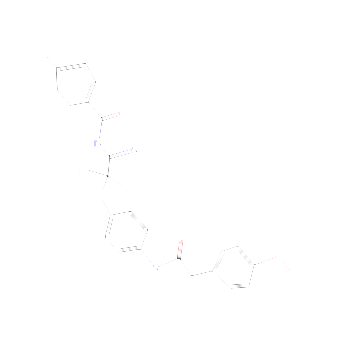 CCOc1ccc(CC(=O)Nc2ccc(OC(C)(C)C(=N)NC(=O)C3=CC=C(Cl)CC3)cc2)cc1